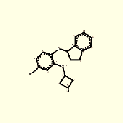 Brc1ccc(OC2CCc3ccccc32)c(OC2CNC2)c1